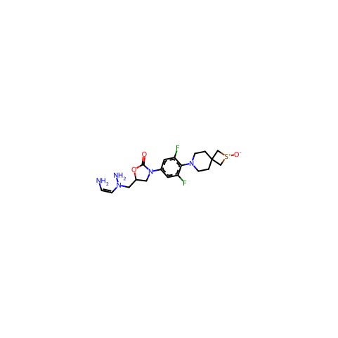 N/C=C\N(N)CC1CN(c2cc(F)c(N3CCC4(CC3)C[S+]([O-])C4)c(F)c2)C(=O)O1